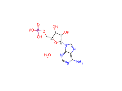 Nc1ncnc2c1ncn2[C@@H]1O[C@H](COP(=O)(O)O)C(O)C1O.O